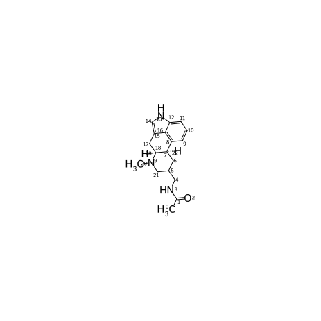 CC(=O)NCC1C[C@@H]2c3cccc4[nH]cc(c34)C[C@H]2N(C)C1